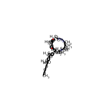 CCOCCOCCOCCNC(=O)C1(N)CCN(C(=O)O[C@@H]2CC[C@@H](C[C@@H](N)[C@@H]3C[C@@H](O)[C@H](C)/C=C(\C)[C@@H](O)[C@@H](O)C(=O)[C@H](C)C[C@H](C)/C=C/C=C/C=C(\C)[C@@H](OC)C[C@@H]4CC[C@@H](C)[C@@](O)(O4)C(=O)C(=O)N4CCCC[C@H]4C(=O)O3)C[C@H]2OC)CC1